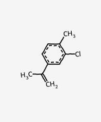 C=C(C)c1ccc(C)c(Cl)c1